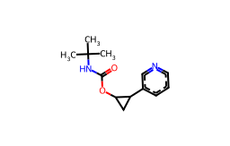 CC(C)(C)NC(=O)OC1CC1c1cccnc1